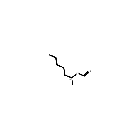 CCCCC[C@H](C)OC=O